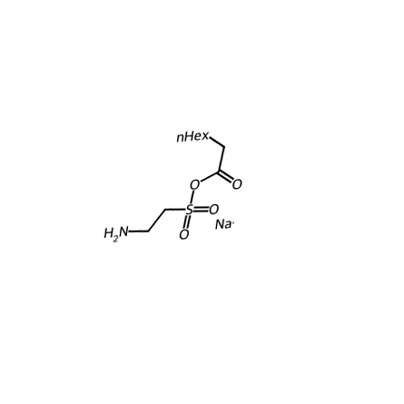 CCCCCCCC(=O)OS(=O)(=O)CCN.[Na]